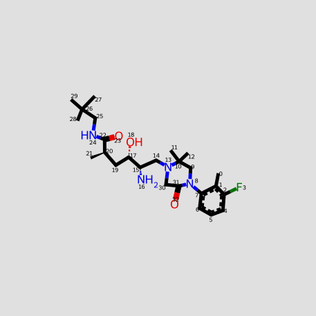 Cc1c(F)cccc1N1CC(C)(C)N(C[C@H](N)[C@@H](O)C[C@@H](C)C(=O)NCC(C)(C)C)CC1=O